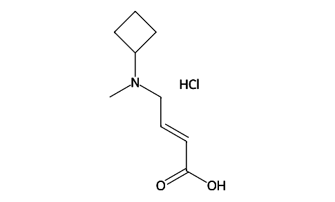 CN(C/C=C/C(=O)O)C1CCC1.Cl